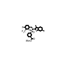 COC(=O)c1cccc(S(=O)(=O)N(Cc2ccc(F)c(C(F)(F)F)c2)c2sc3cc(F)ccc3c2C)c1